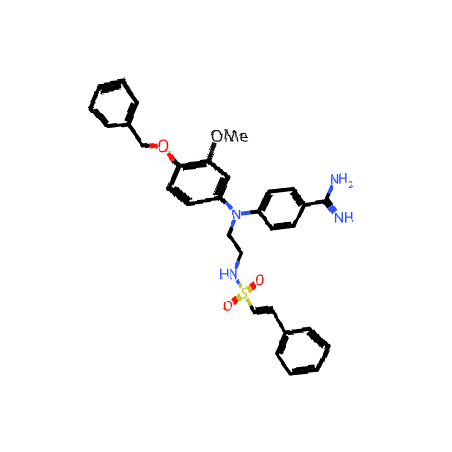 COc1cc(N(CCNS(=O)(=O)C=Cc2ccccc2)c2ccc(C(=N)N)cc2)ccc1OCc1ccccc1